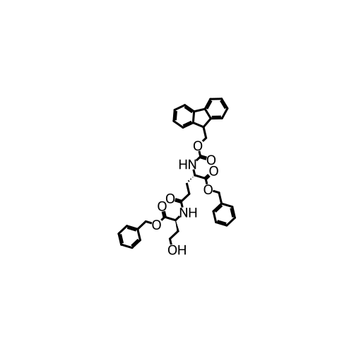 O=C(CC[C@H](NC(=O)OCC1c2ccccc2-c2ccccc21)C(=O)OCc1ccccc1)N[C@@H](CCO)C(=O)OCc1ccccc1